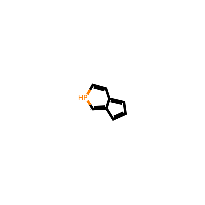 [c]1[pH]ccc2cccc1-2